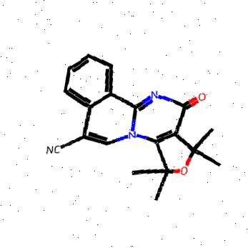 CC1(C)OC(C)(C)c2c1c(=O)nc1c3ccccc3c(C#N)cn21